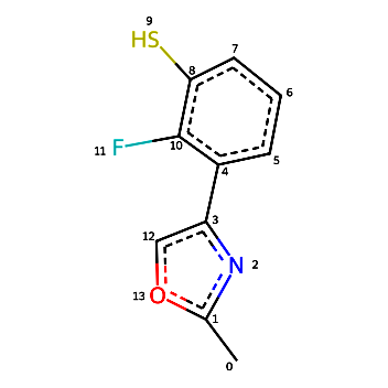 Cc1nc(-c2cccc(S)c2F)co1